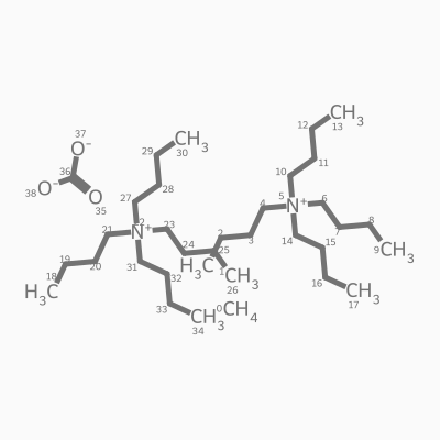 C.CCCC[N+](CCCC)(CCCC)CCCC.CCCC[N+](CCCC)(CCCC)CCCC.O=C([O-])[O-]